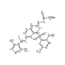 CCOc1ncc(C(F)(F)F)cc1S(=O)(=O)N1C[C@H](CCC(=O)OC)Oc2ccc(/C=C(\C)c3c(Cl)cccc3C(F)(F)F)cc21